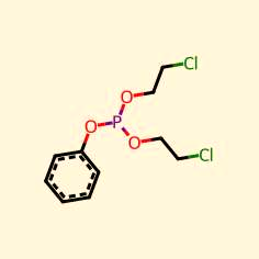 ClCCOP(OCCCl)Oc1ccccc1